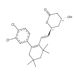 CC1(C)CC(c2ccc(Cl)c(Cl)c2)=C(/C=C/[C@@H]2C[C@@H](O)CC(=O)O2)C(C)(C)C1